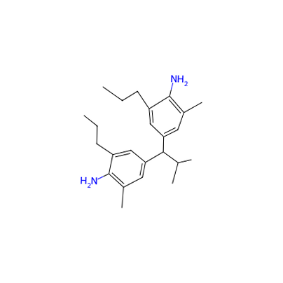 CCCc1cc(C(c2cc(C)c(N)c(CCC)c2)C(C)C)cc(C)c1N